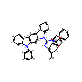 C\C1=C(c2ccccc2)/N=C(n2c3ccccc3c3cc4c5ccccc5n(-c5ccccc5)c4cc32)\N=C(\c2ccccc2)CC1